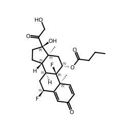 CCCC(=O)O[C@H]1C[C@@]2(C)[C@@H](CC[C@]2(O)C(=O)CO)[C@@H]2C[C@H](F)C3=CC(=O)C=C[C@]3(C)[C@@]12F